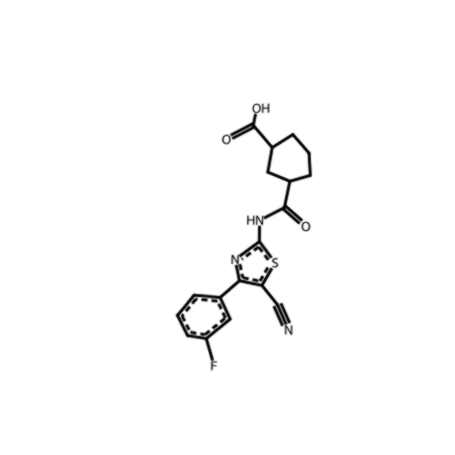 N#Cc1sc(NC(=O)C2CCCC(C(=O)O)C2)nc1-c1cccc(F)c1